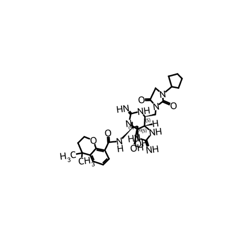 CC1(C)CCOc2c(C(=O)N[C@H]3CN4C(=N)N[C@@H](CN5C(=O)CN(C6CCCC6)C5=O)[C@@H]5NC(=N)N[C@@]54C3(O)O)cccc21